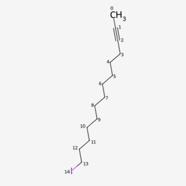 CC#CCCCCCCCCCCCI